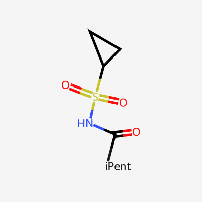 CCCC(C)C(=O)NS(=O)(=O)C1CC1